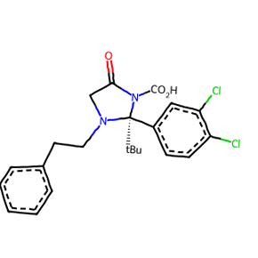 CC(C)(C)[C@]1(c2ccc(Cl)c(Cl)c2)N(CCc2ccccc2)CC(=O)N1C(=O)O